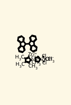 CC1=C(C)C(C)(C)[C]([Zr+2])=C1C.[CH3][Zr]([Cl])([Cl])[C]1=CC=CC1.[Cl-].[Cl-].c1ccc2c(c1)-c1ccccc1C2C1c2ccccc2-c2ccccc21